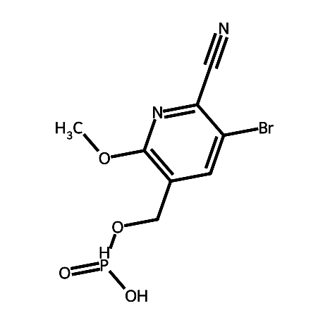 COc1nc(C#N)c(Br)cc1CO[PH](=O)O